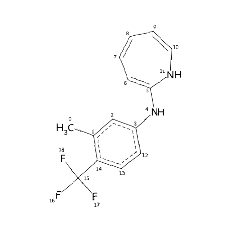 Cc1cc(NC2=CC=CC=CN2)ccc1C(F)(F)F